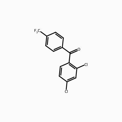 O=C(c1ccc(C(F)(F)F)cc1)c1ccc(Cl)cc1Cl